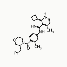 CC1=C(C(=N)Nc2ccc(C(=O)N3CCOCC3CC(C)C)c(C)c2)C(=C2CCC2)NC=C1